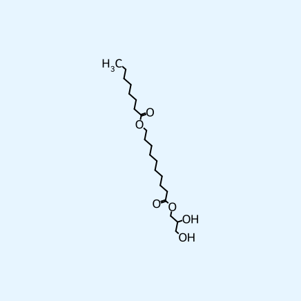 CCCCCCCC(=O)OCCCCCCCCCC(=O)OCC(O)CO